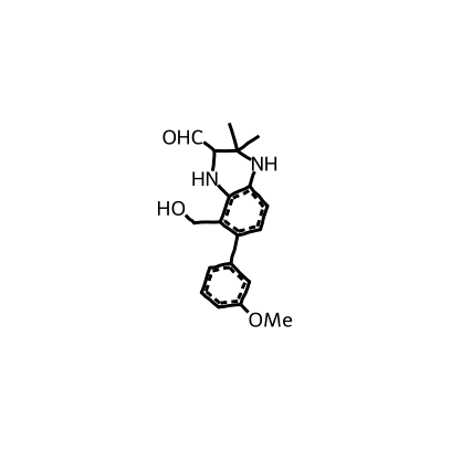 COc1cccc(-c2ccc3c(c2CO)NC(C=O)C(C)(C)N3)c1